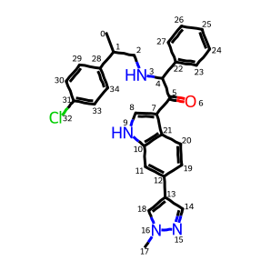 CC(CNC(C(=O)c1c[nH]c2cc(-c3cnn(C)c3)ccc12)c1ccccc1)c1ccc(Cl)cc1